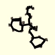 NCCC(NCC1CC=CCC1)C1C=CCCC1